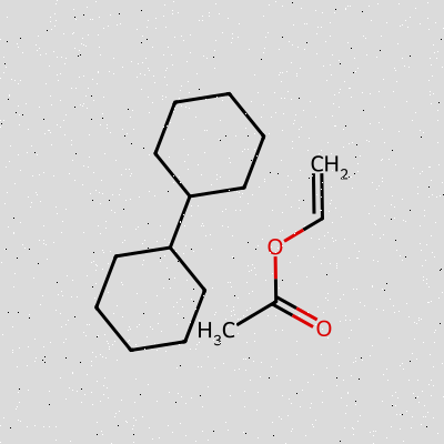 C1CCC(C2CCCCC2)CC1.C=COC(C)=O